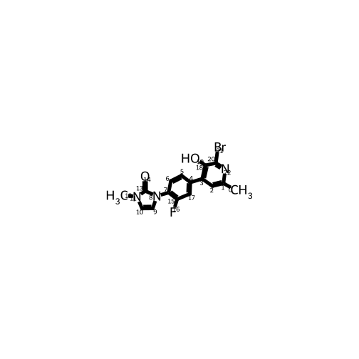 Cc1cc(-c2ccc(-n3ccn(C)c3=O)c(F)c2)c(O)c(Br)n1